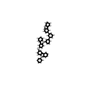 c1ccc(-n2c3ccccc3c3cc(Oc4ccc5c(c4)c4ccccc4n5-c4cccc(-c5cccc(-c6ccc7sc8ccccc8c7c6)c5)c4)ccc32)cc1